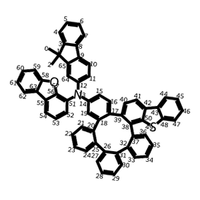 CC1(C)c2ccccc2-c2ccc(N(c3ccc4c(c3)c3ccccc3c3ccccc3c3ccccc3c3c4ccc4c5ccccc5sc43)c3cccc4c3oc3ccccc34)cc21